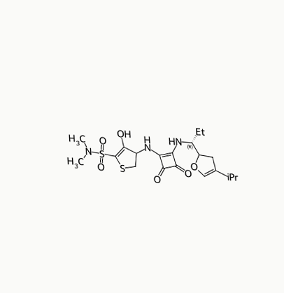 CC[C@@H](Nc1c(NC2CSC(S(=O)(=O)N(C)C)=C2O)c(=O)c1=O)C1CC(C(C)C)=CO1